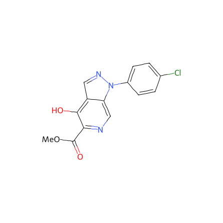 COC(=O)c1ncc2c(cnn2-c2ccc(Cl)cc2)c1O